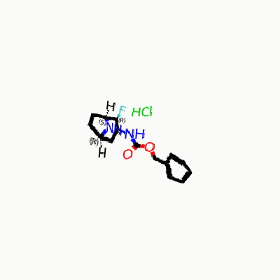 Cl.O=C(N[C@H]1C[C@H]2CC[C@H](N2)[C@H]1F)OCc1ccccc1